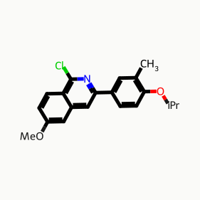 COc1ccc2c(Cl)nc(-c3ccc(OC(C)C)c(C)c3)cc2c1